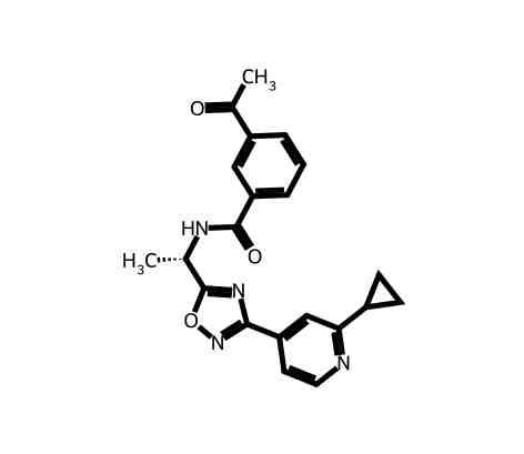 CC(=O)c1cccc(C(=O)N[C@@H](C)c2nc(-c3ccnc(C4CC4)c3)no2)c1